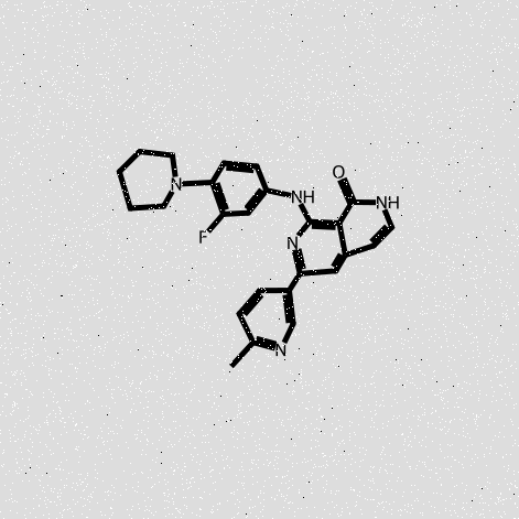 Cc1ccc(-c2cc3cc[nH]c(=O)c3c(Nc3ccc(N4CCCCC4)c(F)c3)n2)cn1